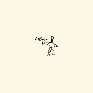 O=C(O)O.[N+].[N+].[O-2].[O-2].[Zn+2].[Zn+2]